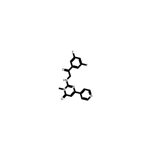 Cn1c(NCC(=O)c2cc(F)cc(F)c2)nc(-c2ccncc2)cc1=O